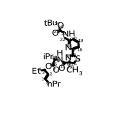 CCC/C=C/C(CC)OC(=O)C(NC(=O)[C@]1(C)CSC(c2cccc(CNC(=O)OC(C)(C)C)n2)=N1)C(C)C